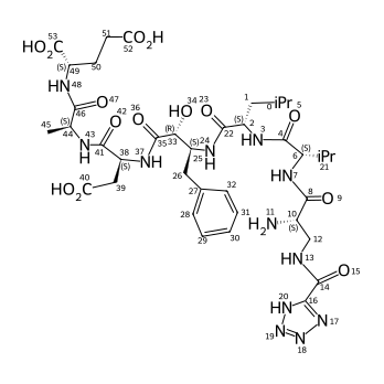 CC(C)C[C@H](NC(=O)[C@@H](NC(=O)[C@@H](N)CNC(=O)c1nnn[nH]1)C(C)C)C(=O)N[C@@H](Cc1ccccc1)[C@@H](O)C(=O)N[C@@H](CC(=O)O)C(=O)N[C@@H](C)C(=O)N[C@@H](CCC(=O)O)C(=O)O